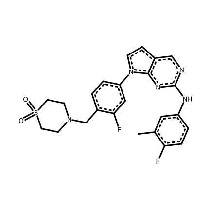 Cc1cc(Nc2ncc3ccn(-c4ccc(CN5CCS(=O)(=O)CC5)c(F)c4)c3n2)ccc1F